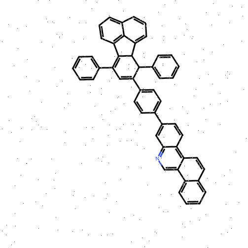 C1=C(c2ccc(-c3ccc4c(c3)ncc3c5ccccc5ccc43)cc2)C(c2ccccc2)C2C(=C1c1ccccc1)c1cccc3cccc2c13